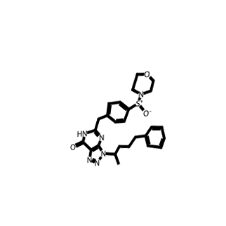 CC(CCCc1ccccc1)n1nnc2c(=O)[nH]c(Cc3ccc([S+]([O-])N4CCOCC4)cc3)nc21